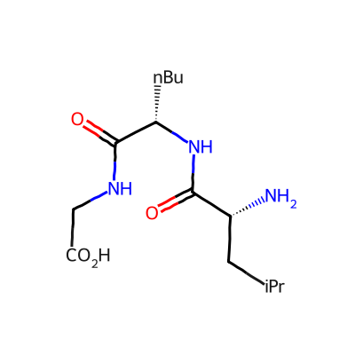 CCCC[C@H](NC(=O)[C@H](N)CC(C)C)C(=O)NCC(=O)O